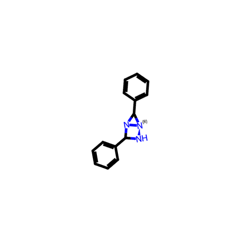 c1ccc(C2N[N@]3C(c4ccccc4)N23)cc1